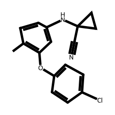 Cc1ccc(NC2(C#N)CC2)cc1Oc1ccc(Cl)cc1